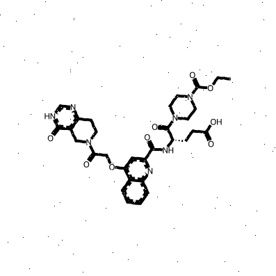 CCOC(=O)N1CCN(C(=O)[C@H](CCC(=O)O)NC(=O)c2cc(OCC(=O)N3CCc4nc[nH]c(=O)c4C3)c3ccccc3n2)CC1